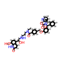 CCN(CCCNC[C@H](O)c1ccc(O)c2[nH]c(=O)ccc12)C(=O)c1ccc(COc2cccc(C(c3ccccc3)N(C(=O)O)[C@H]3CN4CCC3CC4)c2)cc1